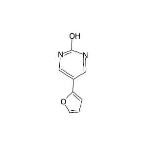 Oc1ncc(-c2ccco2)cn1